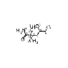 C[N+](C)(CC(O)CCl)C(N)=O